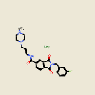 CN1CCN(CCCNC(=O)c2ccc3c(c2)C(=O)N(Cc2cccc(F)c2)C3=O)CC1.Cl